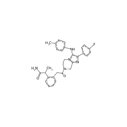 Cc1ccc(Nc2c(-c3ccc(F)cc3)nc3n2CCN(C(=O)Cc2ccccc2C(C)C(N)=O)C3)cc1